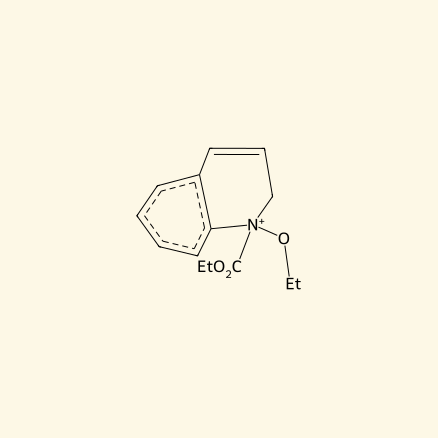 CCOC(=O)[N+]1(OCC)CC=Cc2ccccc21